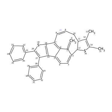 C=c1c2ccc3c1=C(/C=C\CC1C(C)=C(C)SC21)c1sc(-c2ccccc2)c(-c2ccccc2)c1-3